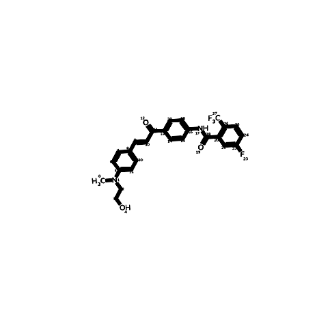 CN(CCO)c1ccc(/C=C/C(=O)c2ccc(NC(=O)c3cc(F)ccc3C(F)(F)F)cc2)cc1